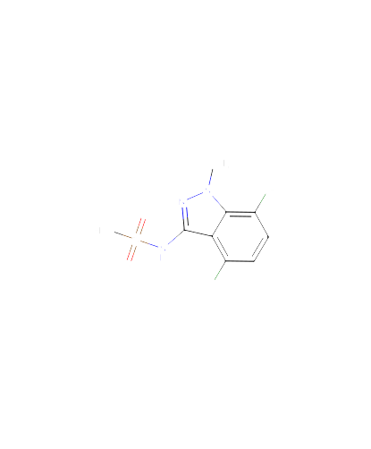 Cn1nc(NS(C)(=O)=O)c2c(F)ccc(Br)c21